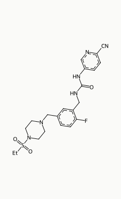 CCS(=O)(=O)N1CCN(Cc2ccc(F)c(CNC(=O)Nc3ccc(C#N)nc3)c2)CC1